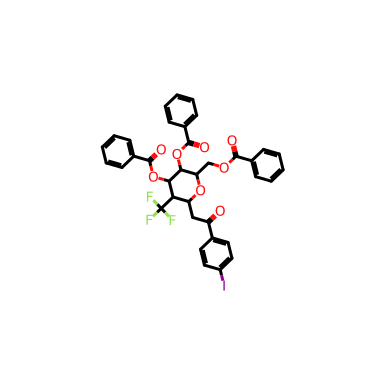 O=C(CC1OC(COC(=O)c2ccccc2)C(OC(=O)c2ccccc2)C(OC(=O)c2ccccc2)C1C(F)(F)F)c1ccc(I)cc1